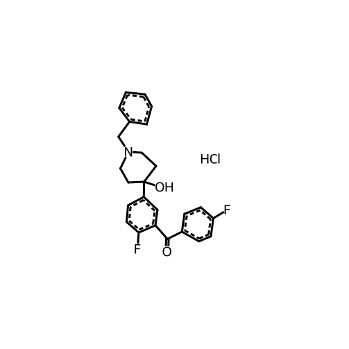 Cl.O=C(c1ccc(F)cc1)c1cc(C2(O)CCN(Cc3ccccc3)CC2)ccc1F